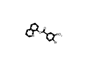 O=C(Oc1cccc2cccnc12)c1ccc(Br)c([N+](=O)[O-])c1